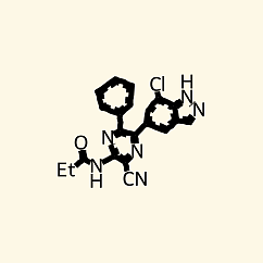 CCC(=O)Nc1nc(-c2ccccc2)c(-c2cc(Cl)c3[nH]ncc3c2)nc1C#N